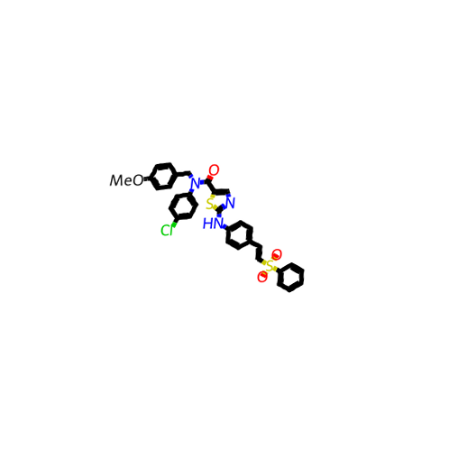 COc1ccc(CN(C(=O)c2cnc(Nc3ccc(C=CS(=O)(=O)c4ccccc4)cc3)s2)c2ccc(Cl)cc2)cc1